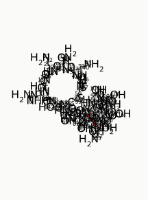 N=C(N)NCCC[C@@H]1NC(=O)C2CCCN2C(=O)[C@H](CCCCN)NC(=O)[C@H](CCC(N)=O)NC(=O)[C@H](CCCCN)NC(=O)[C@@H]2CSC(=N2)c2cc(cs2)C[C@@H](C(=O)N[C@@H](CO)C(=O)N[C@@H](CC(=O)O)C(=O)N[C@@H](Cc2ccc(O)cc2)C(=O)N[C@@H](CCCCCN)C(=O)N[C@@H](CC(=O)O)C(=O)N[C@@H](CC(=O)O)C(=O)N[C@@H](CC(=O)O)C(=O)NC(CC(=O)O)C(=O)N[C@@H](CCCCN)C(=O)O)NC(=O)[C@H](CO)NC1=O